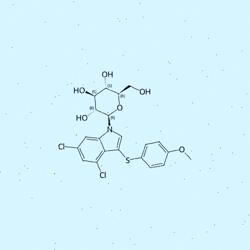 COc1ccc(Sc2cn([C@@H]3O[C@H](CO)[C@@H](O)[C@H](O)[C@H]3O)c3cc(Cl)cc(Cl)c23)cc1